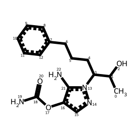 CC(O)C(CCCc1ccccc1)n1ncc(OC(N)=O)c1N